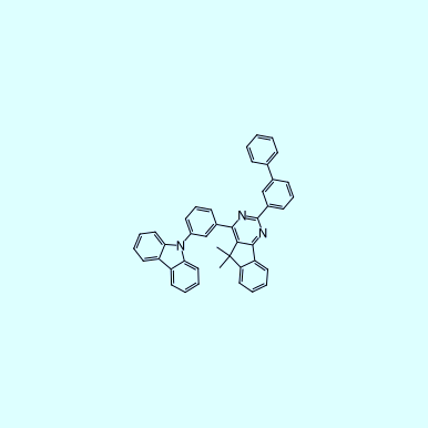 CC1(C)c2ccccc2-c2nc(-c3cccc(-c4ccccc4)c3)nc(-c3cccc(-n4c5ccccc5c5ccccc54)c3)c21